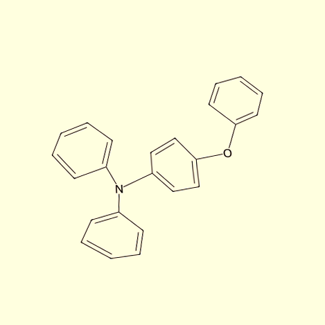 c1ccc(Oc2ccc(N(c3ccccc3)c3ccccc3)cc2)cc1